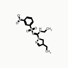 CCN/C(=N\S(=O)(=O)c1cccc([N+](=O)[O-])c1)N1CC(CC)C=N1